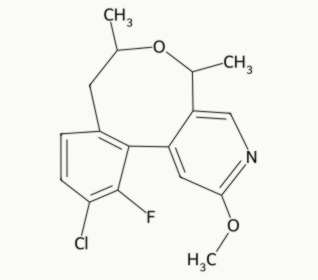 COc1cc2c(cn1)C(C)OC(C)Cc1ccc(Cl)c(F)c1-2